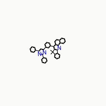 CC1(C)c2ccccc2-c2nc3c(ccc4ccccc43)c(-c3cccc(-c4cc(-c5ccccc5)nc(-c5ccccc5)n4)c3)c21